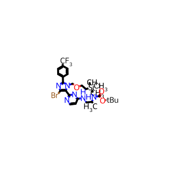 CC(CNc1ccnc(-c2c(Br)nc(-c3ccc(C(F)(F)F)cc3)n2COCC[Si](C)(C)C)n1)NC(=O)OC(C)(C)C